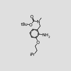 CC(C)CCOc1cccc(CN(C)C(=O)OC(C)(C)C)c1N